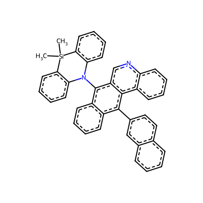 C[Si]1(C)c2ccccc2N(c2c3ccccc3c(-c3ccc4ccccc4c3)c3c2cnc2ccccc23)c2ccccc21